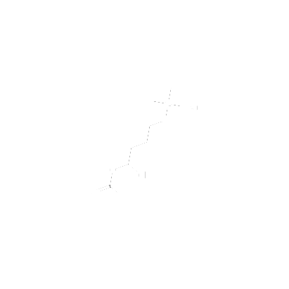 CC(C)(C)[Si](C)(C)OCCCC(Cl)OC(=O)Cl